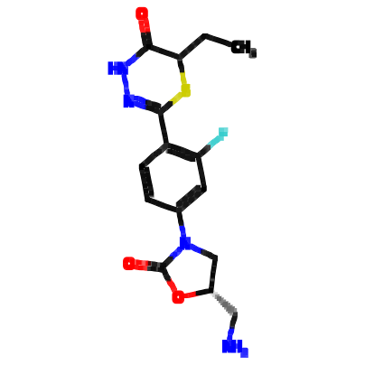 CCC1SC(c2ccc(N3C[C@H](CN)OC3=O)cc2F)=NNC1=O